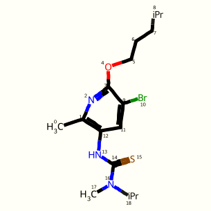 Cc1nc(OCCCC(C)C)c(Br)cc1NC(=S)N(C)C(C)C